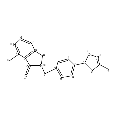 CC1=NOC(c2ccc(CN3Cc4ccnc(C)c4C3=O)cc2)C1